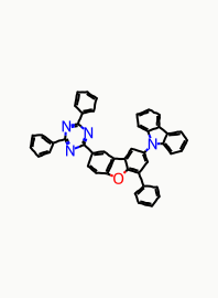 c1ccc(-c2nc(-c3ccccc3)nc(-c3ccc4oc5c(-c6ccccc6)cc(-n6c7ccccc7c7ccccc76)cc5c4c3)n2)cc1